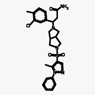 Cc1ccc(C(CC(N)=O)N2CC3CN(S(=O)(=O)c4cnn(-c5ccccc5)c4C)CC3C2)cc1Cl